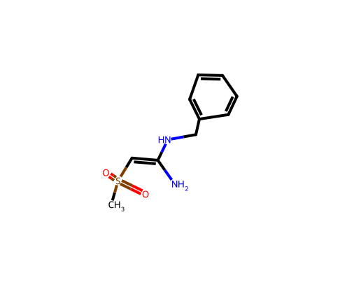 CS(=O)(=O)C=C(N)NCc1ccccc1